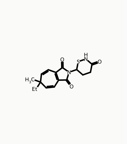 CCC1(C)C=CC2=C(C=C1)C(=O)N(C1CCC(=O)NS1)C2=O